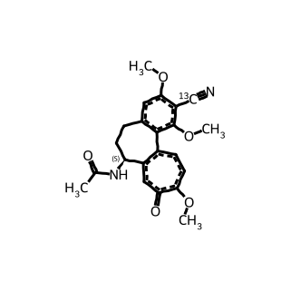 COc1cc2c(c(OC)c1[13C]#N)-c1ccc(OC)c(=O)cc1[C@@H](NC(C)=O)CC2